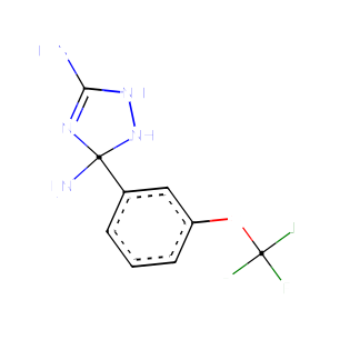 NC1=NC(N)(c2cccc(OC(F)(F)F)c2)NN1